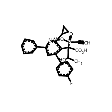 C#CP(=O)(OC)C(C(=O)O)(c1c(-c2ccc(F)cc2)cc(-c2ccccc2)nc1C1CC1)C(C)O